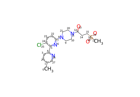 Cc1ccc(-c2nc(N3CCN(C(=O)CCS(C)(=O)=O)CC3)ccc2Cl)nc1